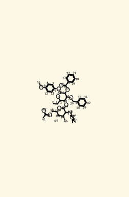 CCC1O[C@@H](Oc2ccc(OC)cc2)C(OC(=O)c2ccccc2)[C@H](OCc2ccccc2)[C@@H]1O[C@@H]1OC(COC(C)=O)[C@@H](C)[C@H](C)C1N=[N+]=[N-]